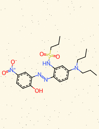 CCCN(CCC)c1ccc(N=Nc2cc([N+](=O)[O-])ccc2O)c(NS(=O)(=O)CCC)c1